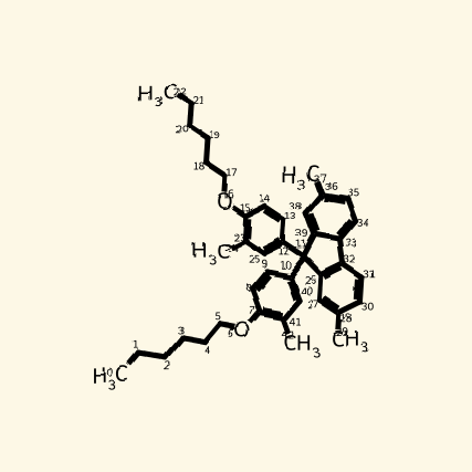 CCCCCCOc1ccc(C2(c3ccc(OCCCCCC)c(C)c3)c3cc(C)ccc3-c3ccc(C)cc32)cc1C